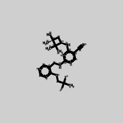 CC(F)(F)COc1ncncc1CNc1ncc(C#N)c(N[C@@H]2C[C@](C)(O)C2(C)C)n1